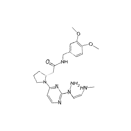 CN/C=C\N(N)c1nccc(N2CCC[C@@H]2CC(=O)NCc2ccc(OC)c(OC)c2)n1